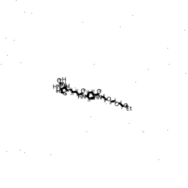 CCOCCOCCOCCNC(=O)c1ccc(NC(=O)CCCC[C@H]2SC[C@H]3NC(=O)N[C@H]32)cc1